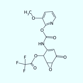 COc1cccnc1OC(=O)NC1=CC(=O)C2OC2C1OC(=O)C(F)(F)F